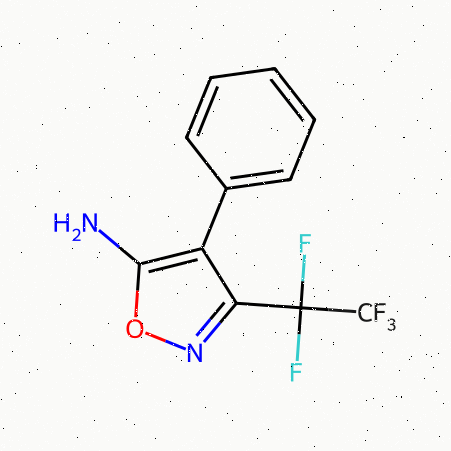 Nc1onc(C(F)(F)C(F)(F)F)c1-c1ccccc1